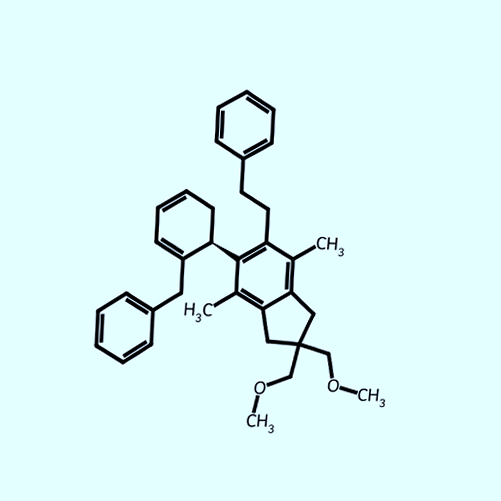 COCC1(COC)Cc2c(C)c(CCc3ccccc3)c([C@@H]3CC=CC=C3Cc3ccccc3)c(C)c2C1